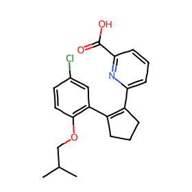 CC(C)COc1ccc(Cl)cc1C1=C(c2cccc(C(=O)O)n2)CCC1